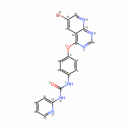 O=C(Nc1ccc(Oc2ncnc3ncc(Br)cc23)cc1)Nc1ccccn1